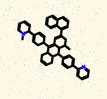 CC1CC(c2cccc3ccccc23)=CC2=C(C3C=CC(C4C=CC=CN4C)=CC3)C3CC=CCC3C(c3ccc(-c4ccccn4)cc3)C21